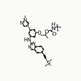 CC(COc1cc(Nc2ncc3cc(C#C[Si](C)(C)C)ccc3n2)cc(-c2cnn(C)c2)c1)OC(=O)NC(C)(C)C